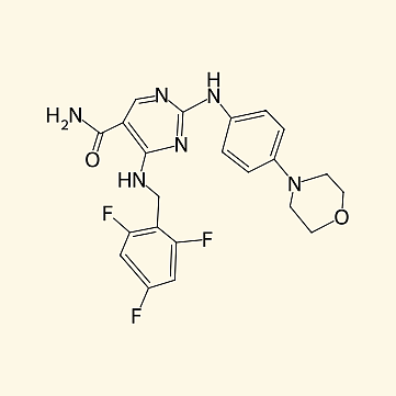 NC(=O)c1cnc(Nc2ccc(N3CCOCC3)cc2)nc1NCc1c(F)cc(F)cc1F